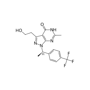 Cc1nc2c(c(CCO)nn2[C@H](C)c2ccc(C(F)(F)F)cc2)c(=O)[nH]1